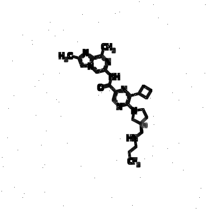 Cc1cn2cc(NC(=O)c3cnc(N4CC[C@@H](CNCCC(F)(F)F)C4)c(C4CCC4)n3)nc(C)c2n1